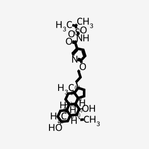 CC[C@H]1[C@@H](O)[C@@H]2[C@H](CC[C@]3(C)[C@@H](CCCOc4ccc(C(=O)NS(=O)(=O)C(C)C)cn4)CC[C@@H]23)[C@@]2(C)CC[C@@H](O)C[C@@H]12